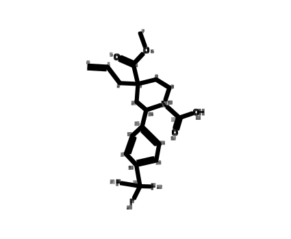 C=CCC1(C(=O)OC)CCN(C(=O)O)C(c2ccc(C(F)(F)F)cc2)C1